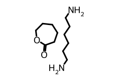 NCCCCCCN.O=C1CCCCCO1